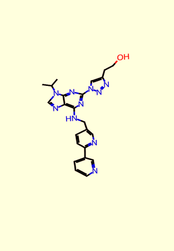 CC(C)n1cnc2c(NCc3ccc(-c4cccnc4)nc3)nc(-n3cc(CCO)nn3)nc21